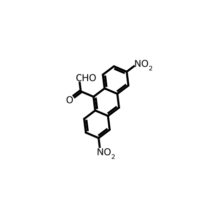 O=CC(=O)c1c2ccc([N+](=O)[O-])cc2cc2cc([N+](=O)[O-])ccc12